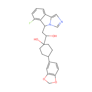 OC(CC1c2c(F)cccc2-c2cncn21)C1(O)CCC(c2ccc3c(c2)OCO3)CC1